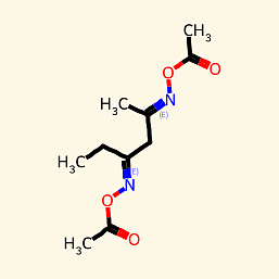 CC/C(C/C(C)=N/OC(C)=O)=N\OC(C)=O